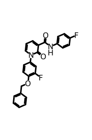 O=C(Nc1ccc(F)cc1)c1cccn(-c2ccc(OCc3ccccc3)c(F)c2)c1=O